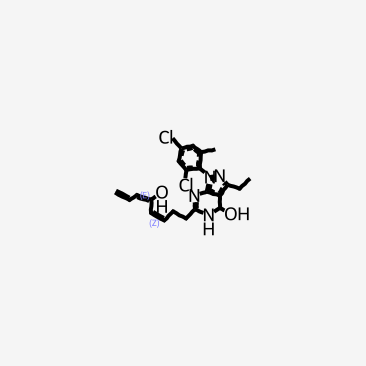 C=C/C=C(O)\C=C/CCC1=Nc2c(c(CC)nn2-c2c(C)cc(Cl)cc2Cl)C(O)N1